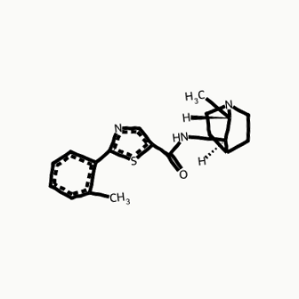 Cc1ccccc1-c1ncc(C(=O)N[C@@H]2C3CCN(CC3)[C@H]2C)s1